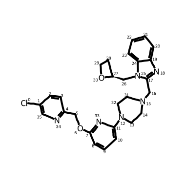 Clc1ccc(COc2cccc(N3CCN(Cc4nc5ccccc5n4C[C@@H]4CCO4)CC3)n2)nc1